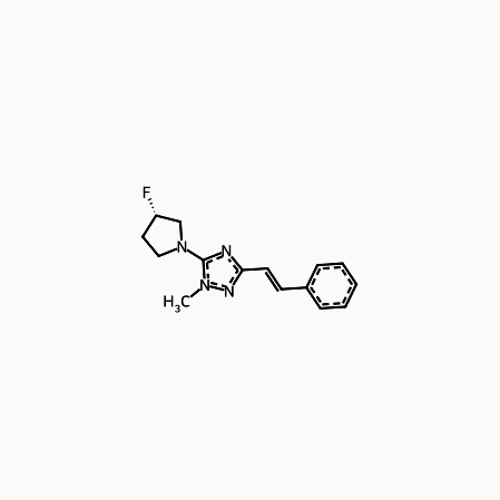 Cn1nc(/C=C/c2ccccc2)nc1N1CC[C@H](F)C1